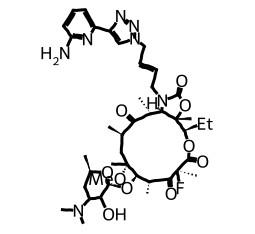 CC[C@H]1OC(=O)[C@@](C)(F)C(=O)[C@H](C)[C@@H](O[C@@H]2O[C@H](C)CC(N(C)C)C2O)[C@](C)(OC)C[C@@H](C)C(=O)[C@H](C)[C@H]2N(C/C=C/Cn3cc(-c4cccc(N)n4)nn3)C(=O)O[C@]12C